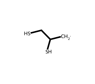 [CH2]C(S)CS